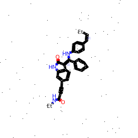 CC/C=C\c1ccc(N/C(=C2\C(=O)Nc3cc(C#CC(=O)NCC)ccc32)c2ccccc2)cc1